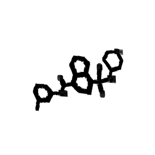 Cc1cccc(NC(=O)c2ccc(S(=O)(=O)NC3CCNCC3)c3ccccc23)c1